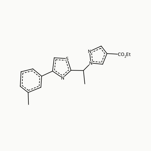 CCOC(=O)c1cnn(C(C)c2nc(-c3cccc(C)c3)cs2)c1